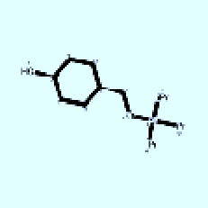 CC(C)[Si](OC[C@H]1CC[C@@H](O)CC1)(C(C)C)C(C)C